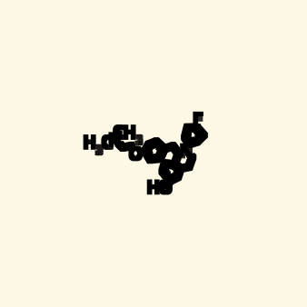 CN(C)CCOc1ccc(CC2c3ccc(O)cc3CCN2c2ccc(F)cc2)cc1